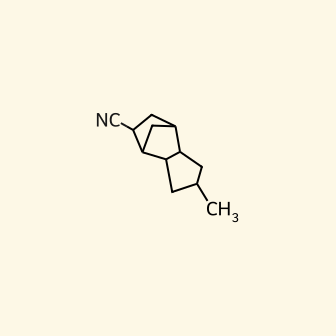 CC1CC2C3CC(C#N)C(C3)C2C1